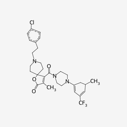 CC1=C(C(=O)N2CCN(C3=CC(C(F)(F)F)=CC(C)C3)CC2)C2(CCN(CCc3ccc(Cl)cc3)CC2)OC1=O